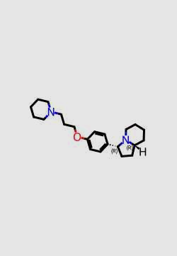 c1cc([C@H]2CC[C@H]3CCCCN32)ccc1OCCCN1CCCCC1